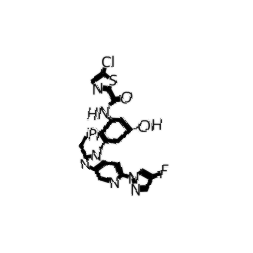 CC(C)Cc1nc2cnc(-n3cc(F)cn3)cc2n1[C@@H]1C[C@@H](O)C[C@H](NC(=O)c2ncc(Cl)s2)C1